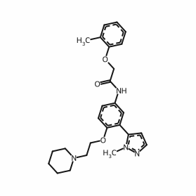 Cc1ccccc1OCC(=O)Nc1ccc(OCCN2CCCCC2)c(-c2ccnn2C)c1